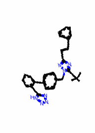 CC(C)(C)c1nc(CCc2ccccc2)nn1Cc1ccc(-c2ccccc2-c2nnn[nH]2)cc1